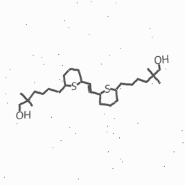 CC(C)(CO)CCCCC1CCCC(C=CC2CCCC(CCCCC(C)(C)CO)S2)S1